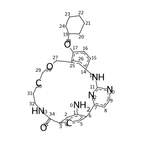 Nc1cc2ccc1-c1ccnc(n1)Nc1ccc(OC3CCCCC3)c(c1)COCCCCNC2=O